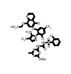 COc1nc(C)nc(NC(=O)NS(=O)(=O)c2ccccc2Cl)n1.Nc1c([N+](=O)[O-])cnn1-c1c(Cl)cc(C(F)(F)F)cc1Cl.O=C(O)COc1ccc(Cl)c2cccnc12